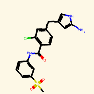 CS(=O)(=O)c1cccc(NC(=O)c2ccc(Cc3c[nH]c(N)c3)cc2Cl)c1